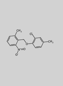 Cc1ccc(OCc2c(C)cccc2[N+](=O)[O-])c(Cl)c1